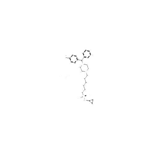 Cl.Cl.O=S(=O)(CCCCCCN1CCN(C(c2ccccc2)c2ccc(Cl)cc2)CC1)NC1CC1